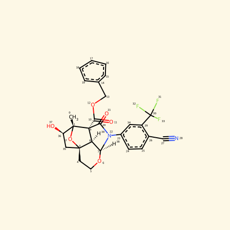 C[C@]12O[C@@]3(CCO[C@H]4[C@@H]3[C@]1(C(=O)OCc1ccccc1)C(=O)N4c1ccc(C#N)c(C(F)(F)F)c1)C[C@H]2O